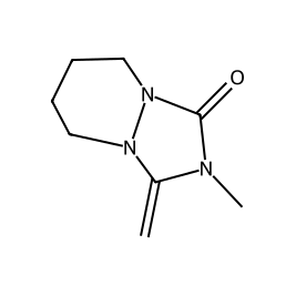 C=C1N(C)C(=O)N2CCCCN12